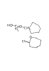 C1CCCCC1.CO.CO.O=C1CCCCCO1